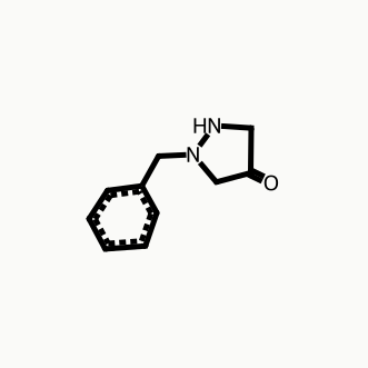 O=C1CNN(Cc2ccccc2)C1